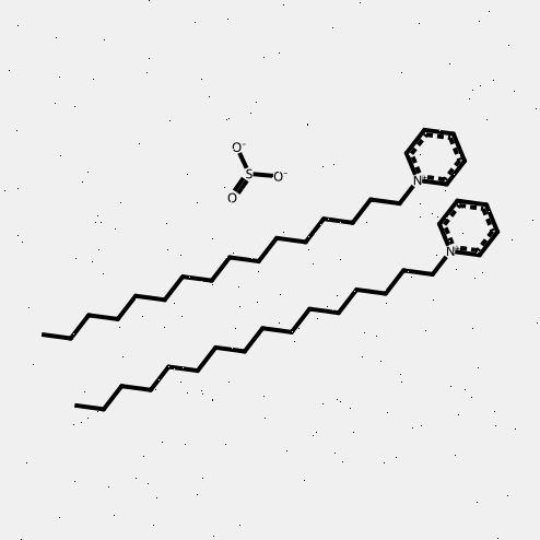 CCCCCCCCCCCCCCCC[n+]1ccccc1.CCCCCCCCCCCCCCCC[n+]1ccccc1.O=S([O-])[O-]